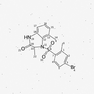 Cc1cc(Br)ccc1S(=O)(=O)N1c2c(C)cccc2NC(=O)C1C